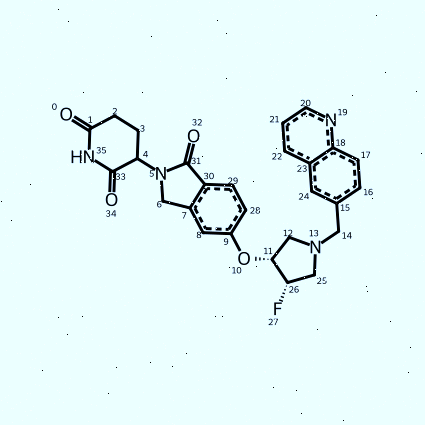 O=C1CCC(N2Cc3cc(O[C@@H]4CN(Cc5ccc6ncccc6c5)C[C@@H]4F)ccc3C2=O)C(=O)N1